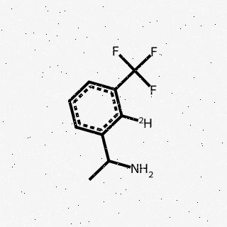 [2H]c1c(C(C)N)cccc1C(F)(F)F